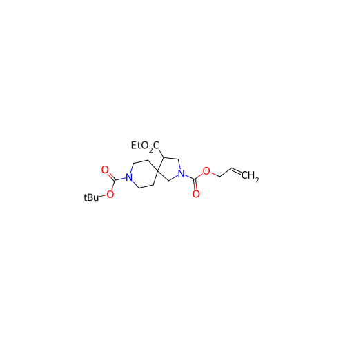 C=CCOC(=O)N1CC(C(=O)OCC)C2(CCN(C(=O)OC(C)(C)C)CC2)C1